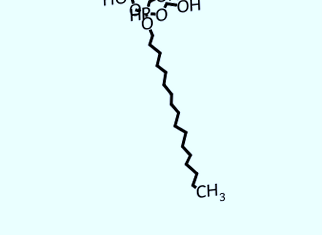 CCCCCCCCCCCCCCCCCO[PH](CO)(OCO)OCO